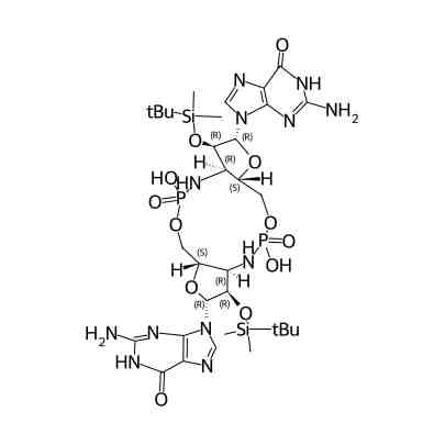 CC(C)(C)[Si](C)(C)O[C@@H]1[C@@H]2NP(=O)(O)OC[C@H]3O[C@@H](n4cnc5c(=O)[nH]c(N)nc54)[C@H](O[Si](C)(C)C(C)(C)C)[C@@H]3NP(=O)(O)OC[C@H]2O[C@H]1n1cnc2c(=O)[nH]c(N)nc21